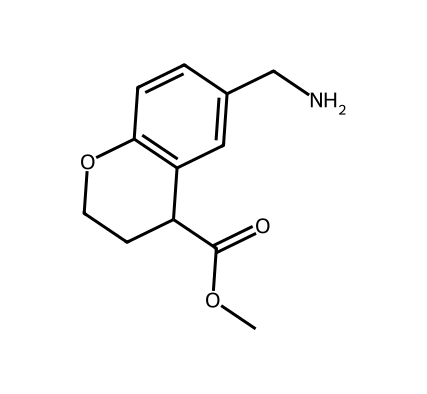 COC(=O)C1CCOc2ccc(CN)cc21